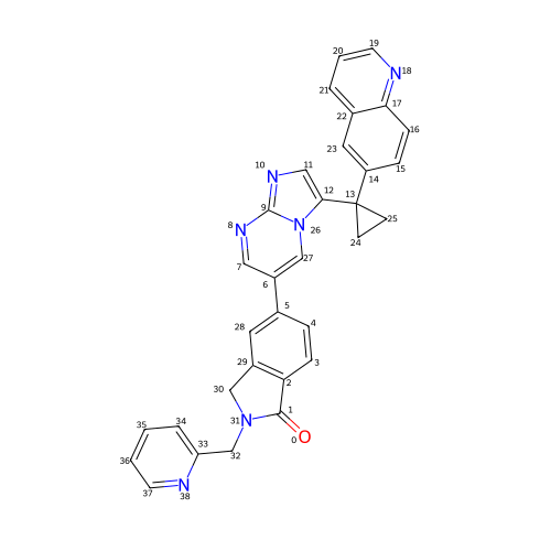 O=C1c2ccc(-c3cnc4ncc(C5(c6ccc7ncccc7c6)CC5)n4c3)cc2CN1Cc1ccccn1